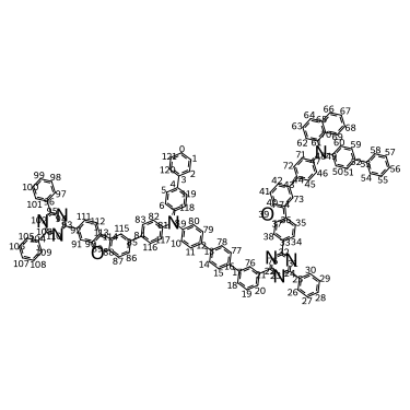 c1ccc(-c2ccc(N(c3ccc(-c4ccc(-c5cccc(-c6nc(-c7ccccc7)nc(-c7ccc8c(c7)oc7ccc(-c9ccc(N(c%10ccc(-c%11ccccc%11)cc%10)c%10cccc%11ccccc%10%11)cc9)cc78)n6)c5)cc4)cc3)c3ccc(-c4ccc5oc6cc(-c7nc(-c8ccccc8)nc(-c8ccccc8)n7)ccc6c5c4)cc3)cc2)cc1